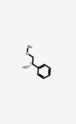 CCC(C)OC[C@@H](O)c1ccccc1